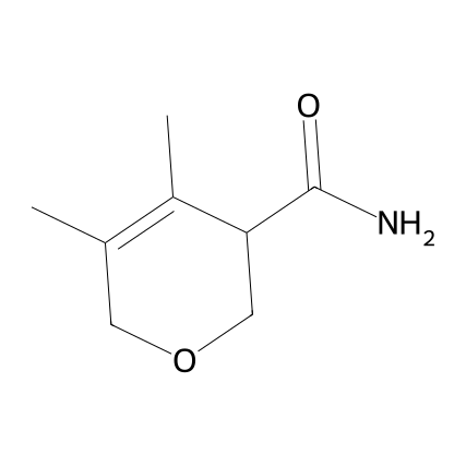 CC1=C(C)C(C(N)=O)COC1